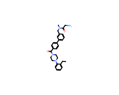 CCc1ccccc1N1CCN(C(=O)c2ccc(-c3cccc(CN(C)C(=O)CN)c3)cc2)CC1